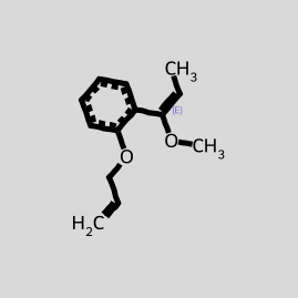 C=CCOc1ccccc1/C(=C\C)OC